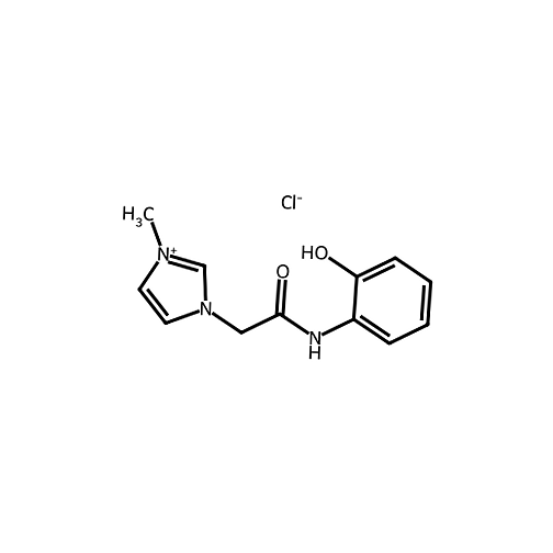 C[n+]1ccn(CC(=O)Nc2ccccc2O)c1.[Cl-]